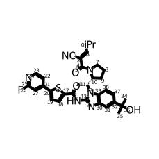 CC(C)C=C(C#N)C(=O)N1CCC[C@@H]1Cn1c(NC(=O)c2ccc(-c3ccnc(F)c3)s2)nc2cc(C(C)(C)O)ccc21